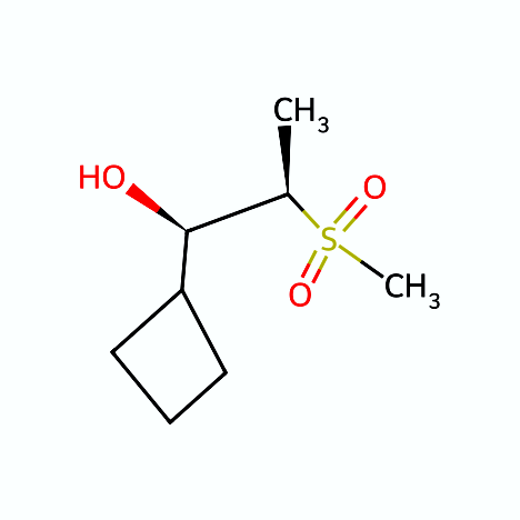 C[C@H]([C@H](O)C1CCC1)S(C)(=O)=O